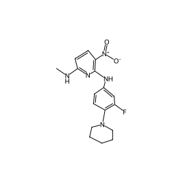 CNc1ccc([N+](=O)[O-])c(Nc2ccc(N3CCCCC3)c(F)c2)n1